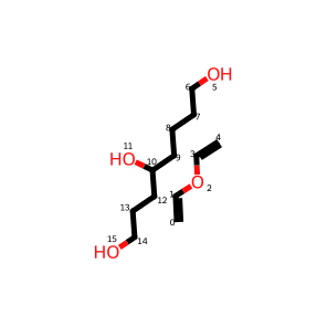 C=COC=C.OCCCCC(O)CCCO